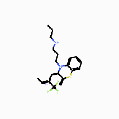 C=C1Sc2ccccc2N(CCCNCCC)C1C/C(=C\C)C(F)(F)F